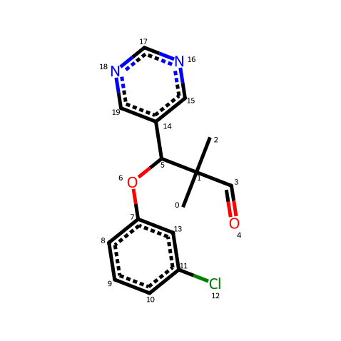 CC(C)(C=O)C(Oc1cccc(Cl)c1)c1cncnc1